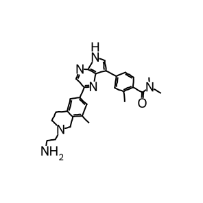 Cc1cc(-c2c[nH]c3ncc(-c4cc(C)c5c(c4)CCN(CCN)C5)nc23)ccc1C(=O)N(C)C